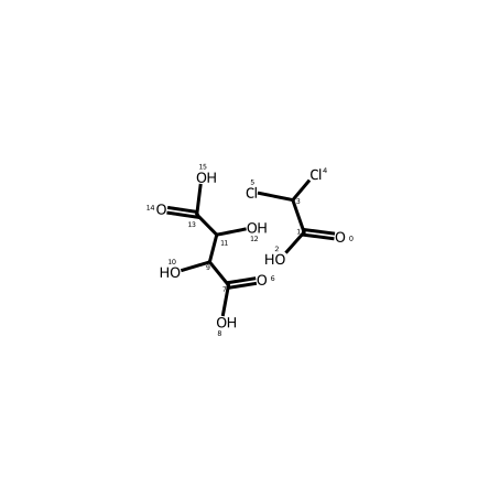 O=C(O)C(Cl)Cl.O=C(O)C(O)C(O)C(=O)O